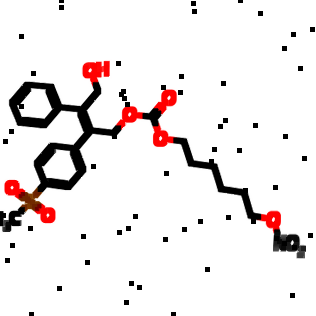 CS(=O)(=O)c1ccc(C(COC(=O)OCCCCCCO[N+](=O)[O-])=C(CO)c2ccccc2)cc1